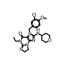 CCN1C(=O)c2c(nc(NC3CCOCC3)n2Cc2ccc(OC)c(Cl)c2)N2CCN=C12